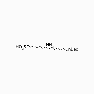 CCCCCCCCCCCCCCCCCCCCCCCCS(=O)(=O)O.N